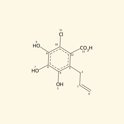 C=CCc1c(O)c(O)c(O)c(Cl)c1C(=O)O